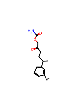 CC(C)c1cccc(C(C)CCC(=O)COC(N)=O)c1